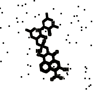 CNC(=O)[C@H](CC(C)C)NC(=O)C(CC(C)C)CP(=O)(O)CN1C(=O)c2cccc3c([N+](=O)[O-])c(O)cc(c23)C1=O